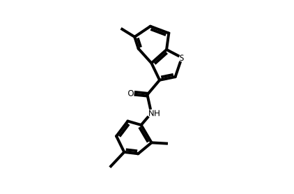 Cc1ccc(NC(=O)c2csc3ccc(C)cc23)c(C)c1